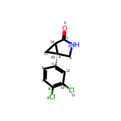 O=C1NC[C@@]2(c3ccc(Cl)c(Cl)c3)CC12